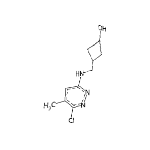 Cc1cc(NCC2CC(O)C2)nnc1Cl